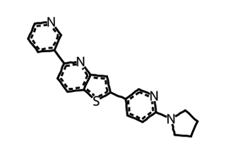 c1cncc(-c2ccc3sc(-c4ccc(N5CCCC5)nc4)cc3n2)c1